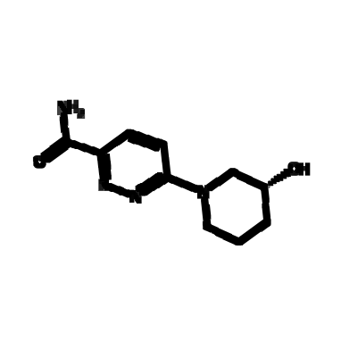 NC(=O)c1ccc(N2CCC[C@@H](O)C2)nn1